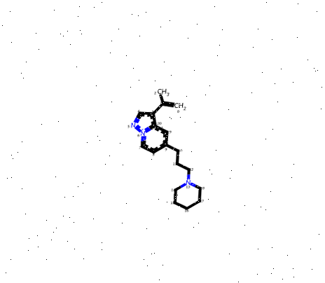 C=C(C)c1cnn2ccc(CCCN3CCCCC3)cc12